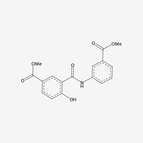 COC(=O)c1cccc(NC(=O)c2cc(C(=O)OC)ccc2O)c1